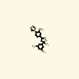 O=[N+]([O-])c1cc(C2=NOC(c3cc(C(F)(F)F)cc(C(F)(F)F)c3)(C(F)(F)F)C2)ccc1-n1cnnn1